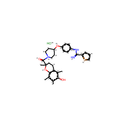 Cc1c(C)c2c(c(C)c1O)CCC(C)(C(=O)N1CCC(Oc3ccc(NC(=N)c4cccs4)cc3)CC1)O2.Cl